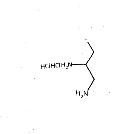 Cl.Cl.NCC(N)CF